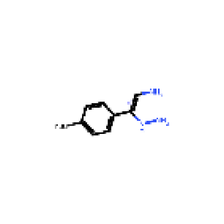 CCCCc1ccc(/C(=C/N)NN)cc1